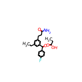 CCC(=O)O.CCc1cc(CCC(N)=O)cc(C(=O)c2ccc(F)cc2)c1